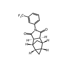 O=C1[C@@H]2[C@@H]3C[C@@H]([C@@H]4C[C@@H]43)[C@@H]2C(=O)N1c1cccc(C(F)(F)F)c1